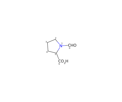 O=CN1CCCC1C(=O)O